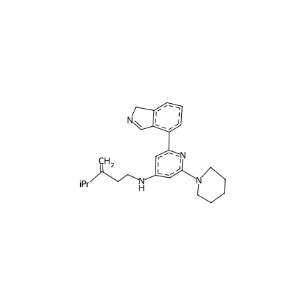 C=C(CCNc1cc(-c2cccc3c2C=NC3)nc(N2CCCCC2)c1)C(C)C